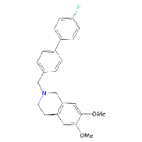 COc1cc2c(cc1OC)CN(Cc1ccc(-c3ccc(F)cc3)cc1)CC2